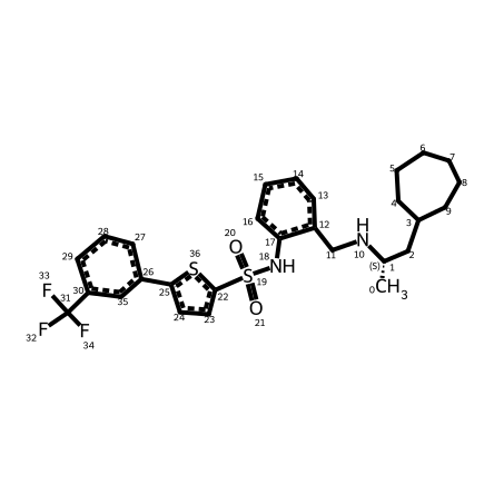 C[C@@H](CC1CCCCCC1)NCc1ccccc1NS(=O)(=O)c1ccc(-c2cccc(C(F)(F)F)c2)s1